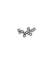 c1ccc(N(c2ccc3ccccc3c2)c2cccc3ccccc23)c(-c2ccc3c4ccccc4n(-c4ccc5c(c4)oc4ccccc45)c3c2)c1